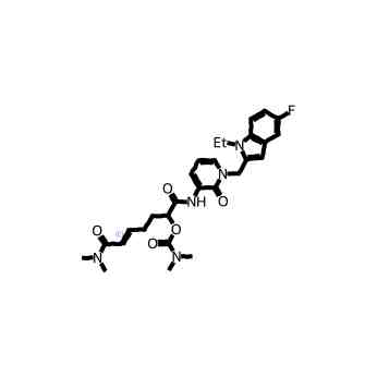 CCn1c(Cn2cccc(NC(=O)C(CC/C=C/C(=O)N(C)C)OC(=O)N(C)C)c2=O)cc2cc(F)ccc21